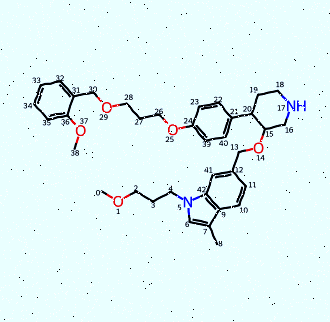 COCCCn1cc(C)c2ccc(COC3CNCCC3c3ccc(OCCCOCc4ccccc4OC)cc3)cc21